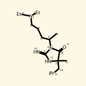 CCN(CC)CCCC(C)N1C(=N)NC(C)(CC(C)C)C1=O